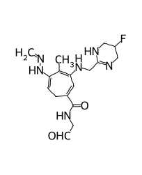 C=NNC1=CCC(C(=O)NCC=O)=CC(NCC2=NCC(F)CN2)=C1C